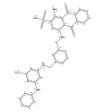 Cc1nc(NCc2cccc(CNc3cc(S(=O)(=O)O)c(N)c4c3C(=O)c3ccccc3C4=O)c2)nc(Nc2ccccc2)n1